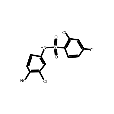 N#Cc1ccc(NS(=O)(=O)c2ccc(Cl)cc2Cl)cc1Cl